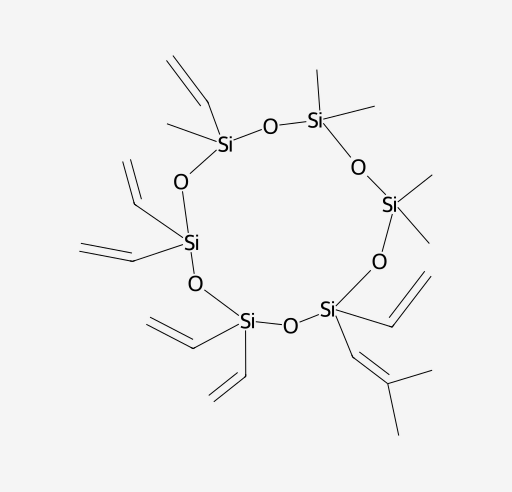 C=C[Si]1(C)O[Si](C)(C)O[Si](C)(C)O[Si](C=C)(C=C(C)C)O[Si](C=C)(C=C)O[Si](C=C)(C=C)O1